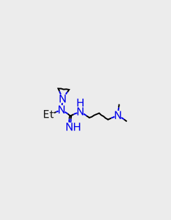 CCN(C(=N)NCCCN(C)C)N1CC1